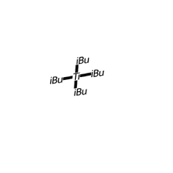 CC[CH](C)[Ti]([CH](C)CC)([CH](C)CC)[CH](C)CC